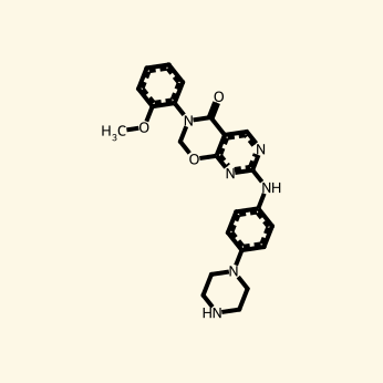 COc1ccccc1N1COc2nc(Nc3ccc(N4CCNCC4)cc3)ncc2C1=O